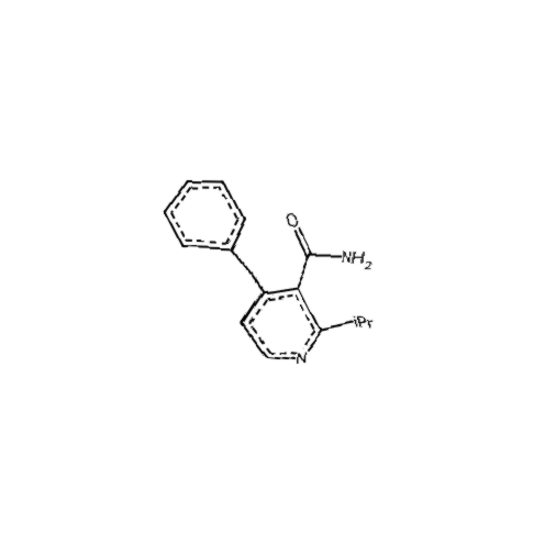 CC(C)c1nccc(-c2ccccc2)c1C(N)=O